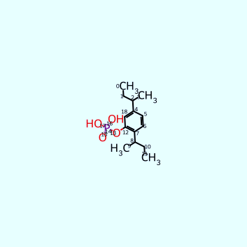 CCC(C)c1ccc(C(C)CC)c(OP(=O)(O)O)c1